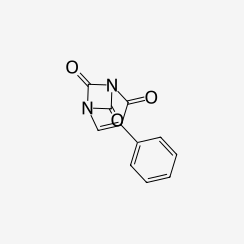 O=c1c(-c2ccccc2)cn2c(=O)n1c2=O